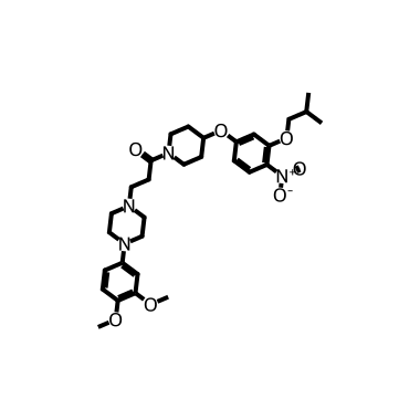 COc1ccc(N2CCN(CCC(=O)N3CCC(Oc4ccc([N+](=O)[O-])c(OCC(C)C)c4)CC3)CC2)cc1OC